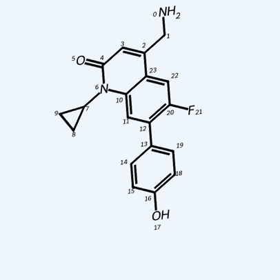 NCc1cc(=O)n(C2CC2)c2cc(-c3ccc(O)cc3)c(F)cc12